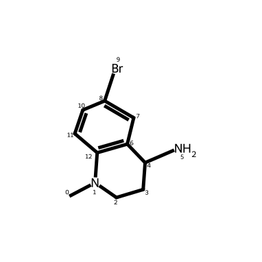 CN1CCC(N)c2cc(Br)ccc21